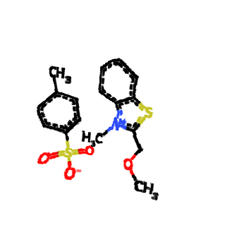 COCc1sc2ccccc2[n+]1C.Cc1ccc(S(=O)(=O)[O-])cc1